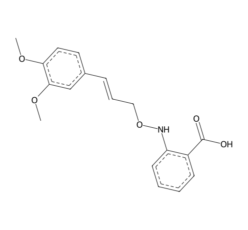 COc1ccc(C=CCONc2ccccc2C(=O)O)cc1OC